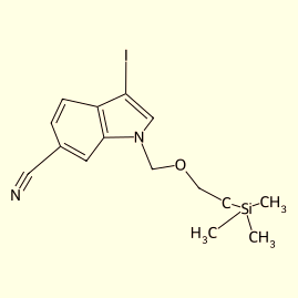 C[Si](C)(C)CCOCn1cc(I)c2ccc(C#N)cc21